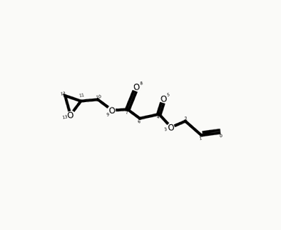 C=CCOC(=O)CC(=O)OCC1CO1